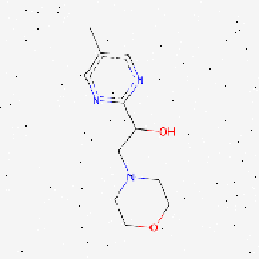 Cc1cnc(C(O)CN2CCOCC2)nc1